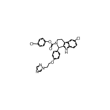 O=C(Oc1ccc(Cl)cc1)N1CCc2c([nH]c3ccc(Cl)cc23)C1c1ccc(OCCn2cncn2)cc1